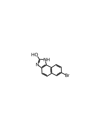 Oc1nc2ccc3cc(Br)ccc3c2[nH]1